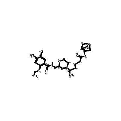 CCOc1cc(N)c(Cl)cc1C(=O)NCC1CN(C(C)CCCC(=O)OC2CN3CCC2CC3)CCO1